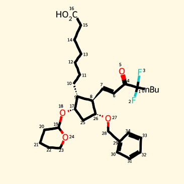 CCCCC(F)(F)C(=O)/C=C/[C@@H]1[C@@H](CCCCCCC(=O)O)[C@@H](OC2CCCCO2)C[C@H]1OCc1ccccc1